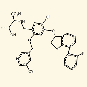 C[C@@H](O)[C@H](NCc1cc(Cl)c(O[C@H]2CCc3c(-c4ccccc4F)cccc32)cc1OCc1cncc(C#N)c1)C(=O)O